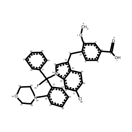 COc1cc(C(=O)O)ccc1Cc1cn(C(F)(c2ccccc2)c2ccccc2N2CCOCC2)c2cc(Cl)ccc12